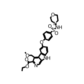 CCOC(=O)c1ncc2[nH]c3ccc(Oc4ccc(S(=O)(=O)NN5CCOCC5)cc4)cc3c2c1COC